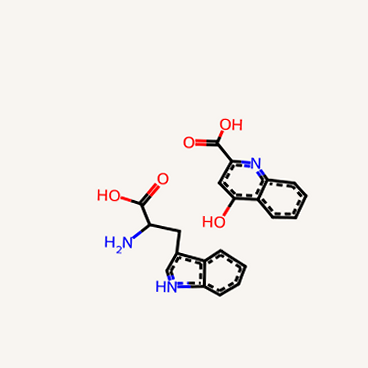 NC(Cc1c[nH]c2ccccc12)C(=O)O.O=C(O)c1cc(O)c2ccccc2n1